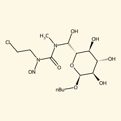 CCCCO[C@H]1O[C@H](C(O)N(C)C(=O)N(CCCl)N=O)[C@@H](O)[C@H](O)[C@H]1O